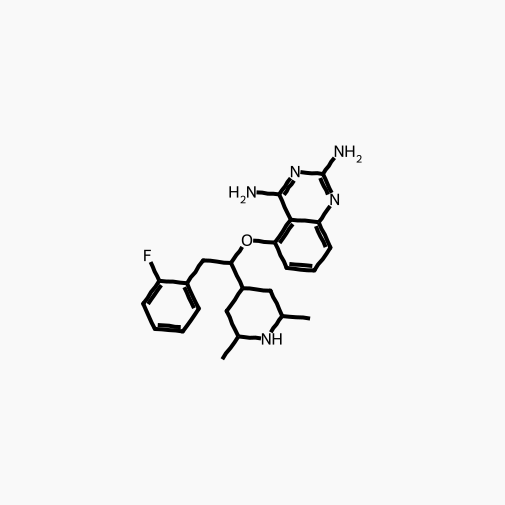 CC1CC(C(Cc2ccccc2F)Oc2cccc3nc(N)nc(N)c23)CC(C)N1